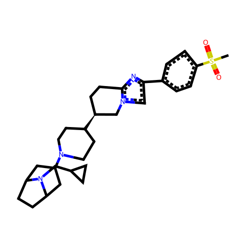 CS(=O)(=O)c1ccc(-c2cn3c(n2)CC[C@H](C2CCN(C4CC5CCC(C4)N5CC4CC4)CC2)C3)cc1